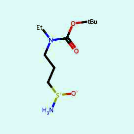 CCN(CCC[S+](N)[O-])C(=O)OC(C)(C)C